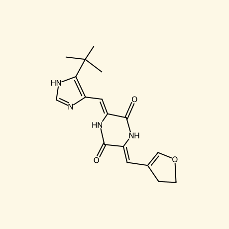 CC(C)(C)c1[nH]cnc1/C=c1\[nH]c(=O)/c(=C/C2=COCC2)[nH]c1=O